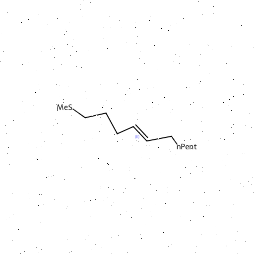 CCCCCC/C=C/CCCSC